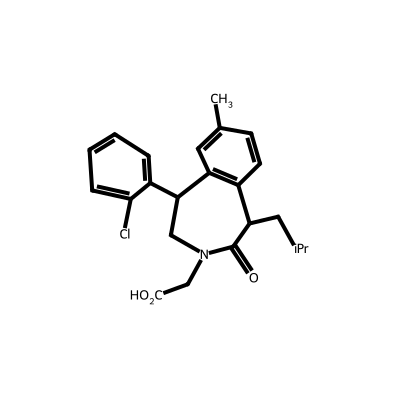 Cc1ccc2c(c1)C(c1ccccc1Cl)CN(CC(=O)O)C(=O)C2CC(C)C